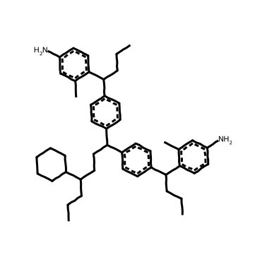 CCCC(c1ccc(C(CCC(CCC)C2CCCCC2)c2ccc(C(CCC)c3ccc(N)cc3C)cc2)cc1)c1ccc(N)cc1C